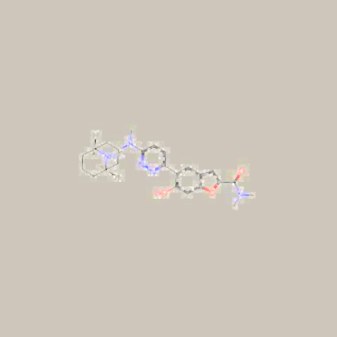 CN(C)C(=O)c1cc2cc(-c3ccc(N(C)[C@@H]4C[C@H]5CCC[C@@H](C4)N5)nn3)c(O)cc2o1